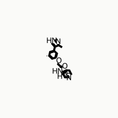 Cc1n[nH]cc1-c1c[c]cc(OCC(=O)N[C@H]2CN3CCC2CC3)c1